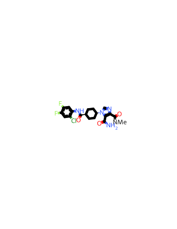 CNC(=O)c1ncn([C@H]2CC[C@H](C(=O)Nc3cc(F)c(F)cc3Cl)CC2)c1C(N)=O